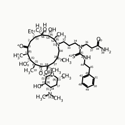 CC[C@H]1CC(=O)[C@H](C)[C@@H](O)[C@H](C)[C@@H](O[C@@H]2O[C@H](C)C[C@H](N(C)C)[C@H]2O)[C@](C)(O)C[C@@H](C)CN(CCCN(CCC(N)=O)C(=S)NCCc2ccccc2)[C@H](C)[C@@H](O)[C@]1(C)O